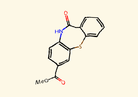 COC(=O)c1ccc2c(c1)Sc1ccccc1C(=O)N2